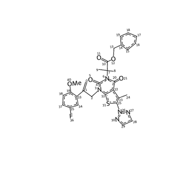 C=C(Cn1c(=O)n(C(C)(C)C(=O)OCc2ccccc2)c(=O)c2c(C)c(-n3nccn3)sc21)c1cc(F)ccc1OC